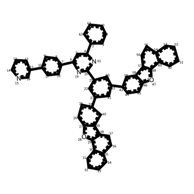 c1ccc(-c2cc(-c3ccc(-c4cccnc4)cc3)nc(-c3cc(-c4ccc5oc6c7ccccc7ccc6c5c4)cc(-c4ccc5oc6c7ccccc7ccc6c5c4)c3)n2)cc1